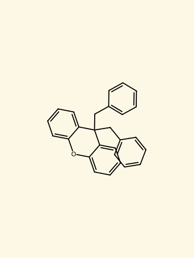 c1ccc(CC2(Cc3ccccc3)c3ccccc3Oc3ccccc32)cc1